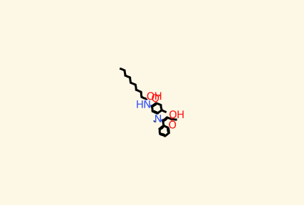 CCCCCCCCCC(O)NC1=C(OC)CC(C)C(N(C)C2=CC(C)(O)Oc3ccccc32)=C1